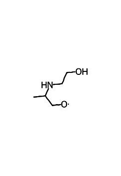 CC(C[O])NCCO